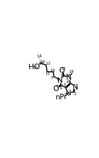 CCCn1cnc2c1c(=O)n(CCCC[C@@H](C)O)c(=O)n2C